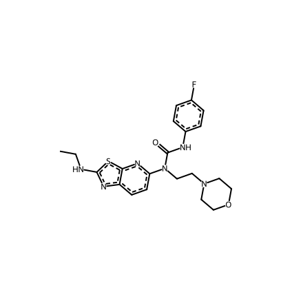 CCNc1nc2ccc(N(CCN3CCOCC3)C(=O)Nc3ccc(F)cc3)nc2s1